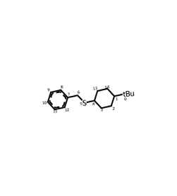 CC(C)(C)C1CCC(SCc2ccccc2)CC1